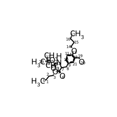 CCCCOC(=O)C(Cc1ccc(OCCCC)c(C=O)c1)NC(=O)OC(C)(C)C